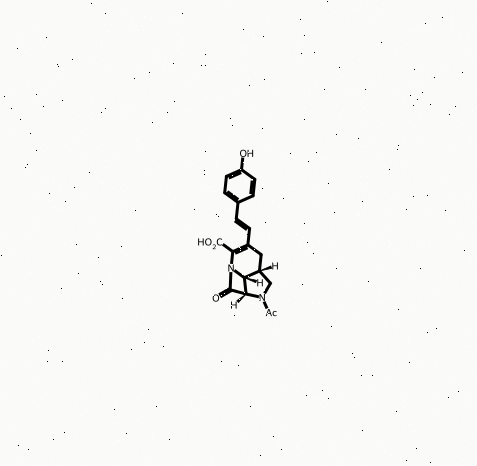 CC(=O)N1C[C@H]2CC(/C=C/c3ccc(O)cc3)=C(C(=O)O)N3C(=O)[C@@H]1[C@@H]23